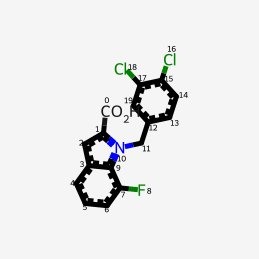 O=C(O)c1cc2cccc(F)c2n1Cc1ccc(Cl)c(Cl)c1